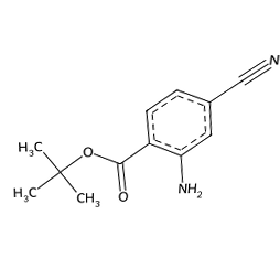 CC(C)(C)OC(=O)c1ccc(C#N)cc1N